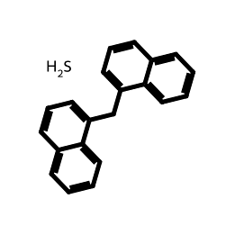 S.c1ccc2c(Cc3cccc4ccccc34)cccc2c1